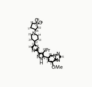 COc1cc(-c2[nH]nc(-c3ncc(C4CCN(C5CCS(=O)(=O)C5)CC4)s3)c2C(C)C)cn2ncnc12